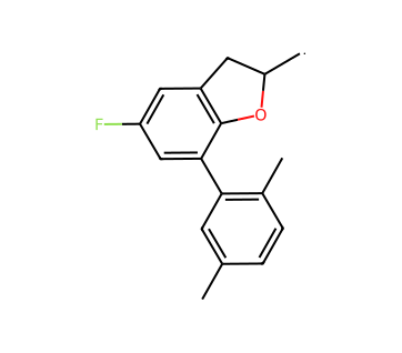 [CH2]C1Cc2cc(F)cc(-c3cc(C)ccc3C)c2O1